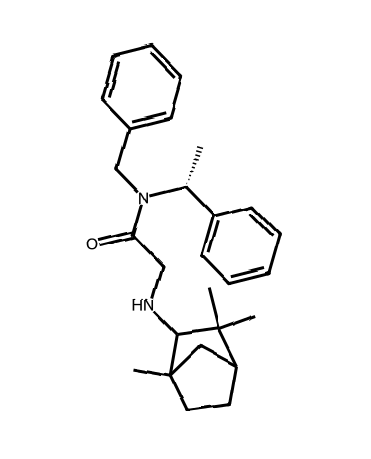 C[C@H](c1ccccc1)N(Cc1ccccc1)C(=O)CNC1C2(C)CCC(C2)C1(C)C